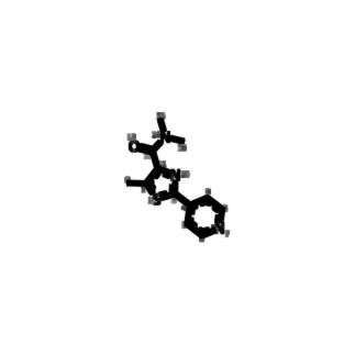 Cc1sc(-c2ccncc2)nc1C(=O)N(C)C